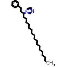 CCCCCCCCCCCCCCCCCCC(CCc1ccccc1)n1ccnc1